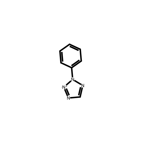 C1=NN(c2ccccc2)[N+]=N1